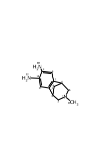 CN1CC2CC(C1)c1cc(N)c(N)cc12